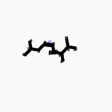 CC(C)C/C=C\NC(C)C(C)C